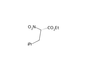 CCOC(=O)[C@H](CC(C)C)[N+](=O)[O-]